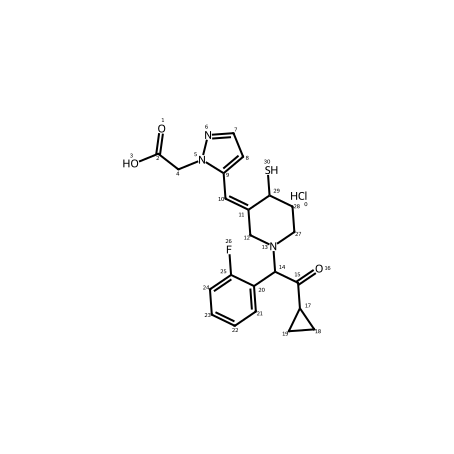 Cl.O=C(O)Cn1nccc1C=C1CN(C(C(=O)C2CC2)c2ccccc2F)CCC1S